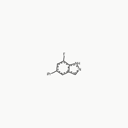 CC(C)c1cc(F)c2[nH]ncc2c1